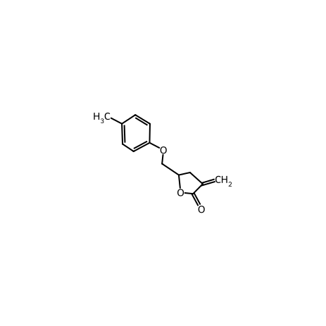 C=C1CC(COc2ccc(C)cc2)OC1=O